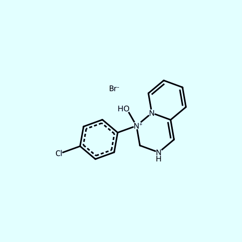 O[N+]1(c2ccc(Cl)cc2)CNC=C2C=CC=CN21.[Br-]